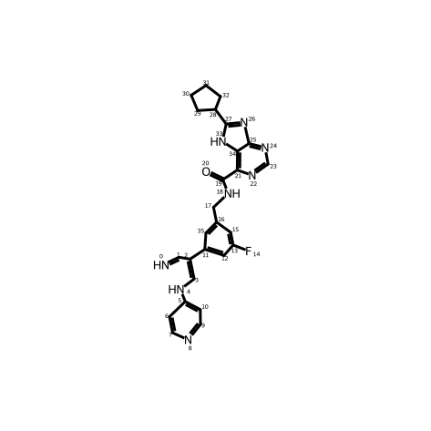 N=C/C(=C\Nc1ccncc1)c1cc(F)cc(CNC(=O)c2ncnc3nc(C4CCCC4)[nH]c23)c1